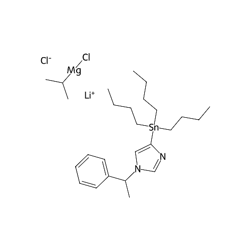 CCC[CH2][Sn]([CH2]CCC)([CH2]CCC)[c]1cn(C(C)c2ccccc2)cn1.C[CH](C)[Mg][Cl].[Cl-].[Li+]